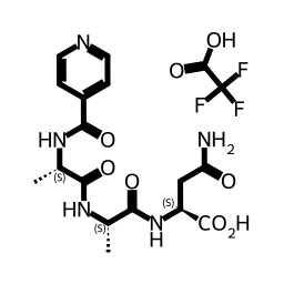 C[C@H](NC(=O)c1ccncc1)C(=O)N[C@@H](C)C(=O)N[C@@H](CC(N)=O)C(=O)O.O=C(O)C(F)(F)F